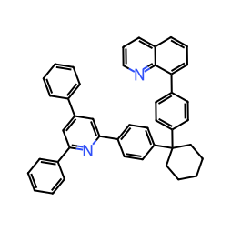 c1ccc(-c2cc(-c3ccccc3)nc(-c3ccc(C4(c5ccc(-c6cccc7cccnc67)cc5)CCCCC4)cc3)c2)cc1